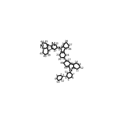 c1ccc(-c2cccc(-n3c4ccccc4c4cc(-c5ccc6c(c5)c5ccccc5n6-c5cnc6c(c5)-c5cccc7nccc-6c57)ccc43)c2)cc1